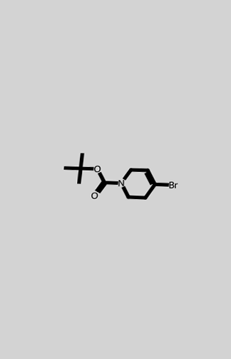 CC(C)(C)OC(=O)N1CC=C(Br)CC1